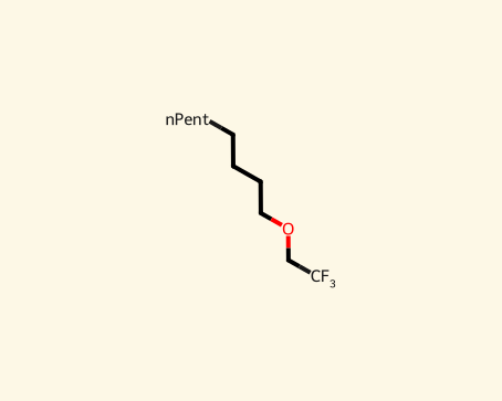 [CH2]CCCCCCCCOCC(F)(F)F